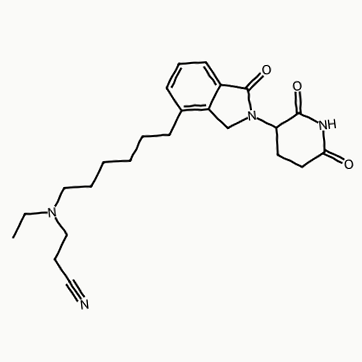 CCN(CCC#N)CCCCCCc1cccc2c1CN(C1CCC(=O)NC1=O)C2=O